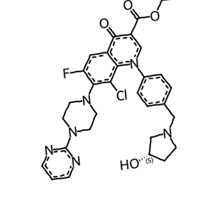 CCOC(=O)c1cn(-c2ccc(CN3CC[C@H](O)C3)cc2)c2c(Cl)c(N3CCN(c4ncccn4)CC3)c(F)cc2c1=O